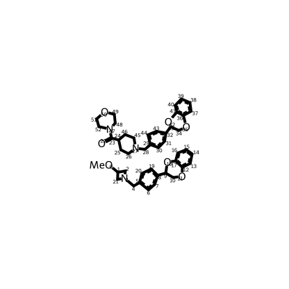 COC1CN(Cc2ccc(C3COc4ccccc4O3)cc2)C1.O=C(C1CCN(Cc2ccc(C3COc4ccccc4O3)cc2)CC1)N1CCOCC1